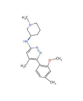 COc1cc(C)ccc1-c1nnc(N[C@@H]2CCCN(C)C2)cc1C